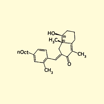 CCCCCCCCc1ccc(C=C2C[C@@]3(C)C(=C(C)C2=O)CCC[C@@H]3O)c(C)c1